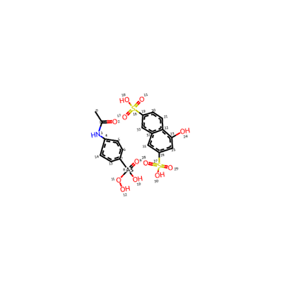 CC(=O)Nc1ccc([As](=O)(O)OO)cc1.O=S(=O)(O)c1ccc2c(O)cc(S(=O)(=O)O)cc2c1